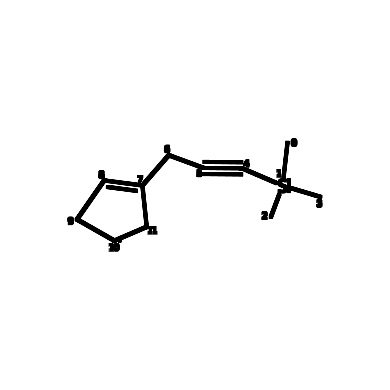 C[Si](C)(C)C#CCC1=CC[CH]C1